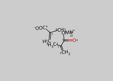 C=C(C)C(=O)OC.C=C(C)C(=O)[O-].[Li+]